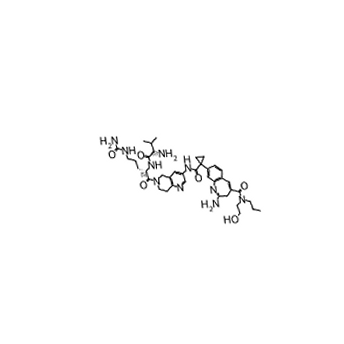 CCCN(CCO)C(=O)C1=Cc2ccc(C3(C(=O)Nc4cnc5c(c4)CN(C(=O)[C@H](CCCNC(N)=O)NC(=O)[C@@H](N)C(C)C)CC5)CC3)cc2N=C(N)C1